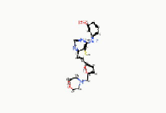 Oc1cccc(Nc2ncnc3cc(-c4ccc(CN5CCOCC5)o4)sc23)c1